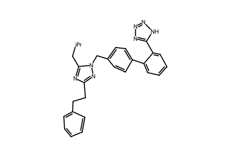 CC(C)Cc1nc(CCc2ccccc2)nn1Cc1ccc(-c2ccccc2-c2nnn[nH]2)cc1